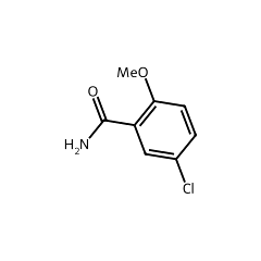 COc1ccc(Cl)cc1C(N)=O